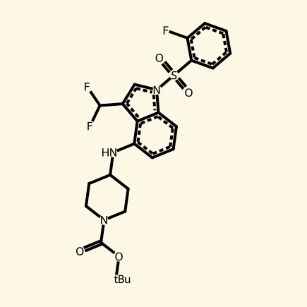 CC(C)(C)OC(=O)N1CCC(Nc2cccc3c2c(C(F)F)cn3S(=O)(=O)c2ccccc2F)CC1